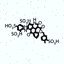 Cc1ccc(COC(=O)c2c3c4c(c(Nc5ccc(S(=O)(=O)O)cc5S(=O)(=O)O)cc(S(=O)(=O)O)c4[nH]c2=O)C(=O)c2ccccc2-3)cc1S(=O)(=O)O